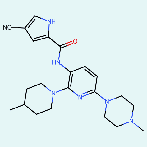 CC1CCN(c2nc(N3CCN(C)CC3)ccc2NC(=O)c2cc(C#N)c[nH]2)CC1